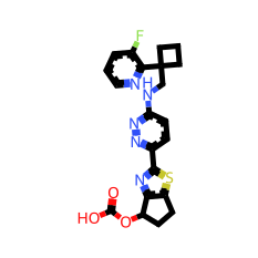 O=C(O)OC1CCc2sc(-c3ccc(NCC4(c5ncccc5F)CCC4)nn3)nc21